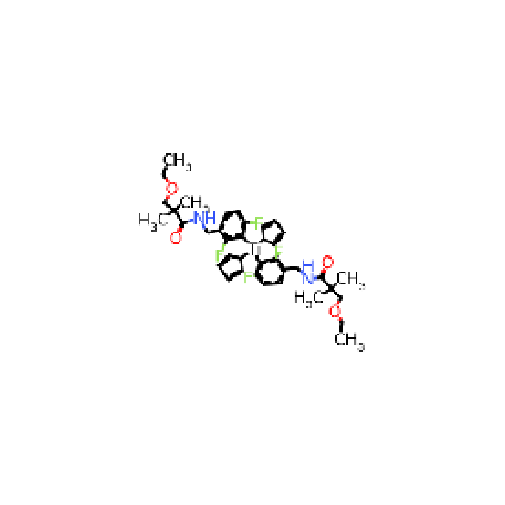 CCOCC(C)(C)C(=O)NCc1ccc(F)[c]([Ti]([c]2c(F)ccc(CNC(=O)C(C)(C)COCC)c2F)([CH]2C=CC=C2)[CH]2C=CC=C2)c1F